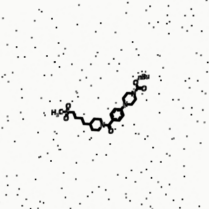 CCCCOC(=O)N1CCN(c2ccc(C(=O)N3CCC(CCCCS(C)(=O)=O)CC3)cc2)CC1